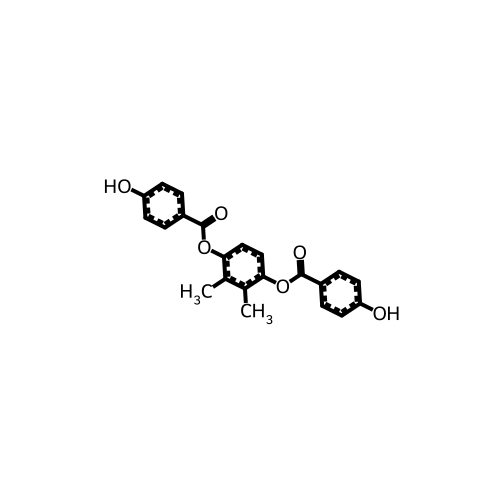 Cc1c(OC(=O)c2ccc(O)cc2)ccc(OC(=O)c2ccc(O)cc2)c1C